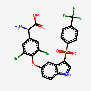 N[C@@H](C(=O)O)c1cc(Br)c(Oc2ccc3[nH]cc(S(=O)(=O)c4ccc(C(F)(F)F)cc4)c3c2)c(Br)c1